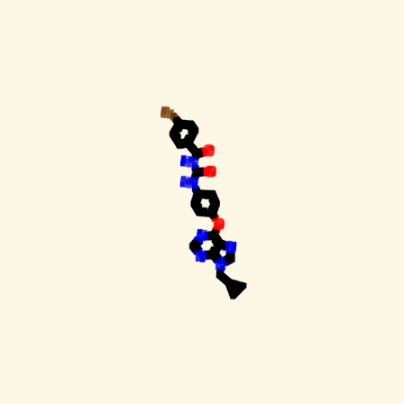 O=C(NC(=O)c1ccc(Br)cc1)Nc1ccc(Oc2ncnc3c2ncn3CC2CC2)cc1